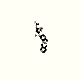 Cc1ccncc1Cn1ncc2ncc(Nc3cc(OC(F)F)[nH]n3)nc21